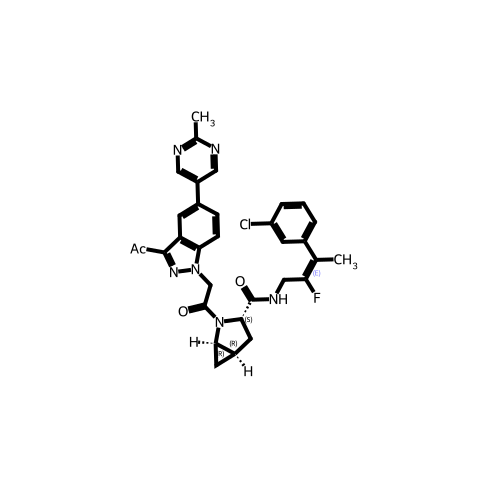 CC(=O)c1nn(CC(=O)N2[C@@H]3C[C@@H]3C[C@H]2C(=O)NC/C(F)=C(/C)c2cccc(Cl)c2)c2ccc(-c3cnc(C)nc3)cc12